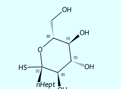 CCCCCCC[C@@]1(S)O[C@H](CO)[C@@H](O)[C@H](O)[C@H]1O